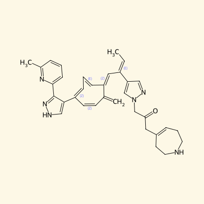 C=C1\C=C/C(c2c[nH]nc2-c2cccc(C)n2)=C/C=C/C1=C/C(=C\C)c1cnn(CC(=O)CC2=CCCNCC2)c1